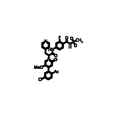 COc1cn(C(Cc2ccncc2)C(=O)Nc2ccc(C(=O)NS(C)(=O)=O)c(F)c2)c(=O)cc1-c1cc(Cl)ccc1C(C)=O